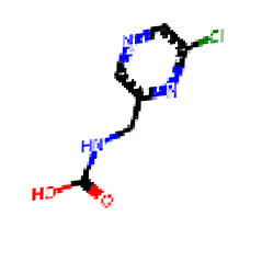 O=C(O)NCc1cncc(Cl)n1